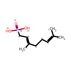 CC(C)=CCCC(C)=CCP(=O)(O)O